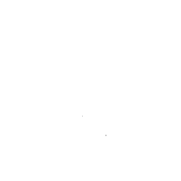 CCCCCCCC(C)(C)NCCO